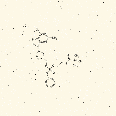 CC(C)(C)C(=O)SCCOP(=O)(OC[C@@H]1C=C[C@H](n2cnc3c(Cl)nc(N)nc32)C1)Oc1ccccc1